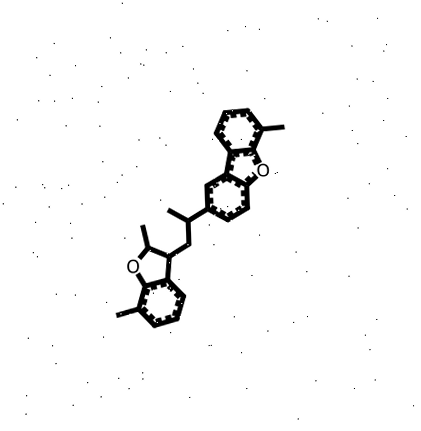 Cc1cccc2c1OC(C)C2CC(C)c1ccc2oc3c(C)cccc3c2c1